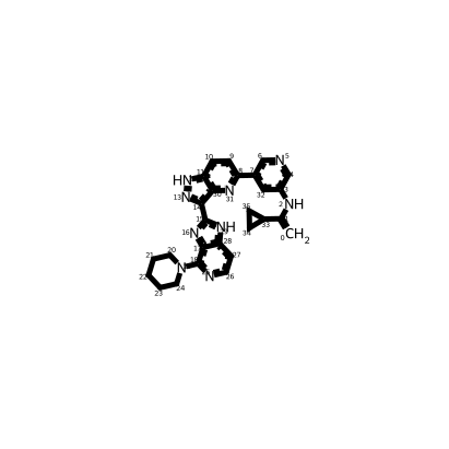 C=C(Nc1cncc(-c2ccc3[nH]nc(-c4nc5c(N6CCCCC6)nccc5[nH]4)c3n2)c1)C1CC1